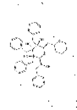 OC(Cc1ccccc1)[C@@H]1S[C@H](OC2CCCCO2)[C@@](O)(Cc2ccccc2)[C@](O)(Cc2ccccc2)[C@@]1(O)Cc1ccccc1